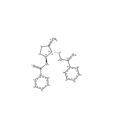 C=C1[CH]C[C@H](OC(=O)c2ccccc2)[C@H]1COC(=O)c1ccccc1